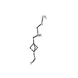 CSCNCC12CC(CF)(C1)C2